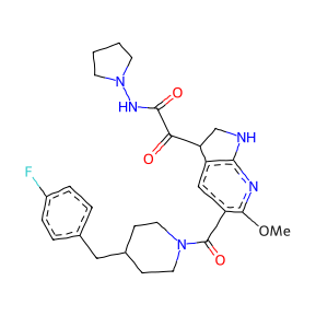 COc1nc2c(cc1C(=O)N1CCC(Cc3ccc(F)cc3)CC1)C(C(=O)C(=O)NN1CCCC1)CN2